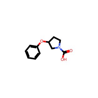 O=C(O)N1CCC(Oc2ccccc2)C1